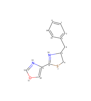 c1ccc(CC2CSC(c3cocn3)=N2)cc1